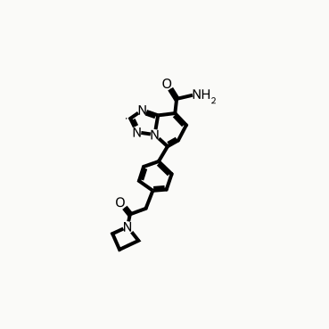 NC(=O)c1ccc(-c2ccc(CC(=O)N3CCC3)cc2)n2n[c]nc12